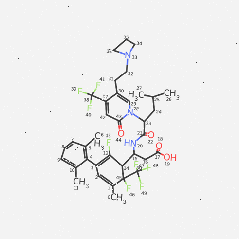 CC1=CC(c2c(C)cccc2C)=C(F)C(C(CC(=O)O)NC(=O)C(CC(C)C)n2cc(CCN3CCC3)c(C(F)(F)F)cc2=O)C1(F)C(F)(F)F